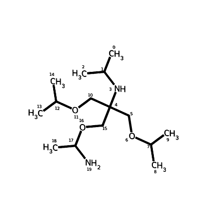 CC(C)NC(COC(C)C)(COC(C)C)COC(C)N